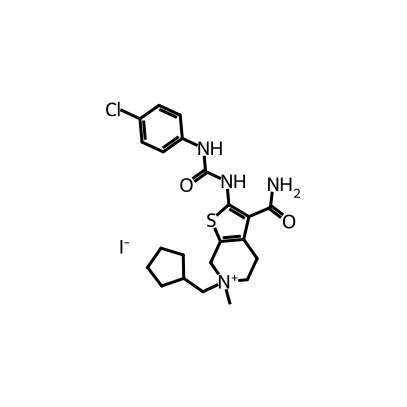 C[N+]1(CC2CCCC2)CCc2c(sc(NC(=O)Nc3ccc(Cl)cc3)c2C(N)=O)C1.[I-]